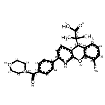 CC(C)(C(=O)O)[C@@H]1c2ccc(-c3ccc(C(=O)N4CCOCC4)cc3)nc2Oc2c(F)cccc21